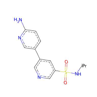 CC(C)NS(=O)(=O)c1cncc(-c2ccc(N)nc2)c1